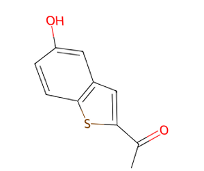 CC(=O)c1cc2cc(O)ccc2s1